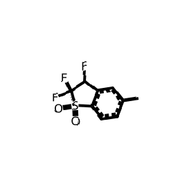 Cc1ccc2c(c1)C(F)C(F)(F)S2(=O)=O